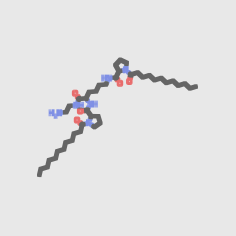 CCCCCCCCCCCC(=O)N1CCCC1C(=O)NCCCCC(NC(=O)C1CCCN1C(=O)CCCCCCCCCCC)C(=O)NCCN